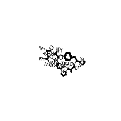 CCC(C)C(C(CC(=O)N1CCC[C@H]1C(OC)C(C)C(=O)NC(Cc1ccccc1)c1nccs1)OC)N(C)C(=O)C(NC(=O)C(C(C)C)N(C)C(=O)C(NC)C(C)C)C(C)C